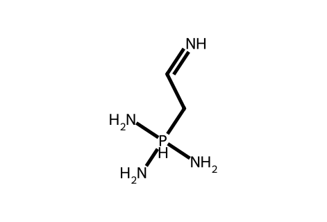 N=CC[PH](N)(N)N